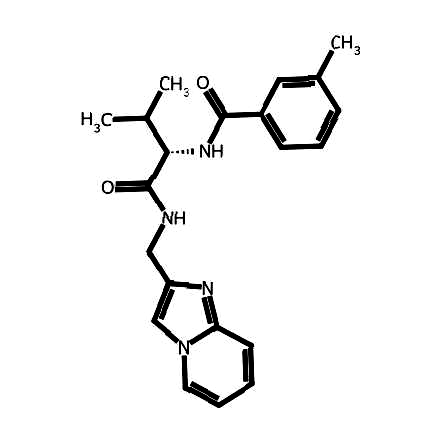 Cc1cccc(C(=O)N[C@H](C(=O)NCc2cn3ccccc3n2)C(C)C)c1